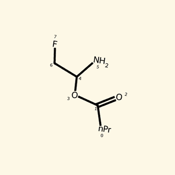 CCCC(=O)OC(N)CF